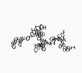 CC[C@@]1(O)C(=O)OCc2c1cc1n(c2=O)Cc2c-1nc1cc(F)c(C)c3c1c2[C@@H](NC(=O)CCNC(=O)CNC(=O)[C@H](Cc1ccccc1)NC(=O)CNC(=O)CNC(=O)[C@H](CC(=O)O)NC(=O)CCOCCOCCNC(=O)CCN1C(=O)C=CC1=O)CC3